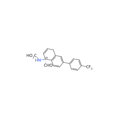 O=C[C@]1(NC(=O)O)C=CCc2cc(-c3ccc(C(F)(F)F)cc3)ccc21